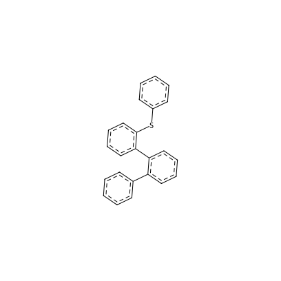 c1ccc(Sc2ccccc2-c2ccccc2-c2ccccc2)cc1